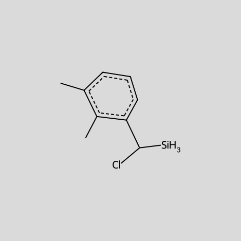 Cc1cccc(C([SiH3])Cl)c1C